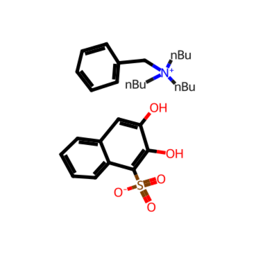 CCCC[N+](CCCC)(CCCC)Cc1ccccc1.O=S(=O)([O-])c1c(O)c(O)cc2ccccc12